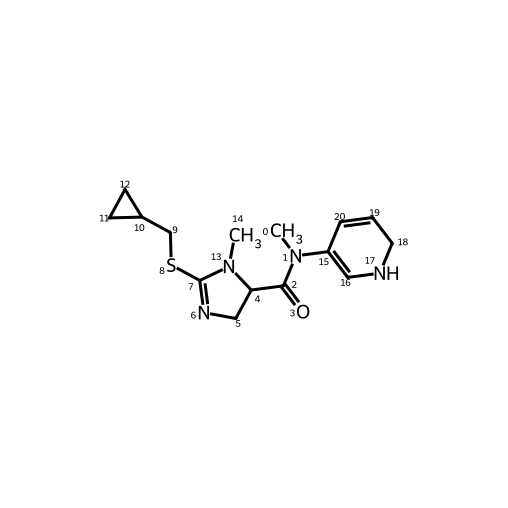 CN(C(=O)C1CN=C(SCC2CC2)N1C)C1=CNCC=C1